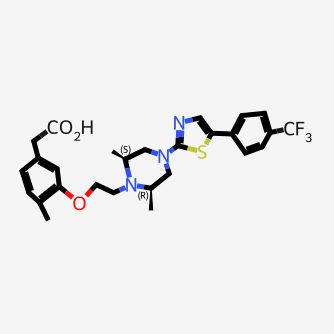 Cc1ccc(CC(=O)O)cc1OCCN1[C@H](C)CN(c2ncc(-c3ccc(C(F)(F)F)cc3)s2)C[C@@H]1C